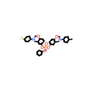 Cc1ccc(N2COc3ccc(OP(=O)(Oc4ccccc4)Oc4ccc5c(c4)CN(c4ccc(F)cc4)CO5)cc3C2)cc1